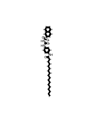 CCCCCCCCCCCCCCCCCC(=O)Nc1ccc(NC(=O)NS(=O)(=O)c2ccc3ccccc3c2)cc1